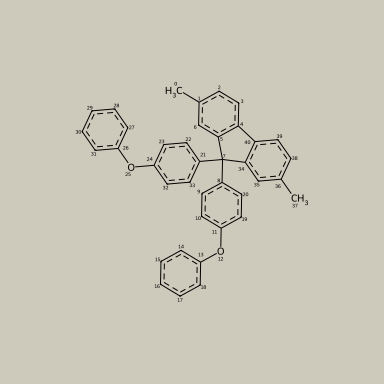 Cc1ccc2c(c1)C(c1ccc(Oc3ccccc3)cc1)(c1ccc(Oc3ccccc3)cc1)c1cc(C)ccc1-2